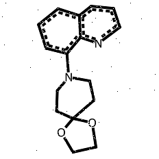 c1cnc2c(N3CCC4(CC3)OCCO4)cccc2c1